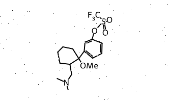 COC1(c2cccc(OS(=O)(=O)C(F)(F)F)c2)CCCCC1CN(C)C